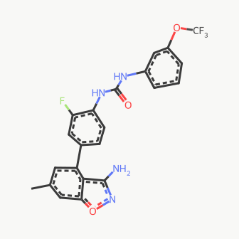 Cc1cc(-c2ccc(NC(=O)Nc3cccc(OC(F)(F)F)c3)c(F)c2)c2c(N)noc2c1